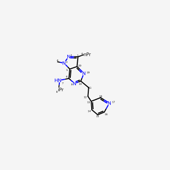 CCCc1nn(C)c2c(NC(C)C)nc(CCc3cccnc3)nc12